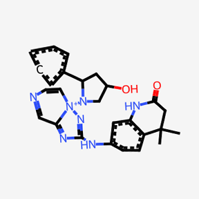 CC1(C)CC(=O)Nc2cc(NC3=N[N+]4(N5CC(O)CC5c5ccccc5)C=CN=CC4=N3)ccc21